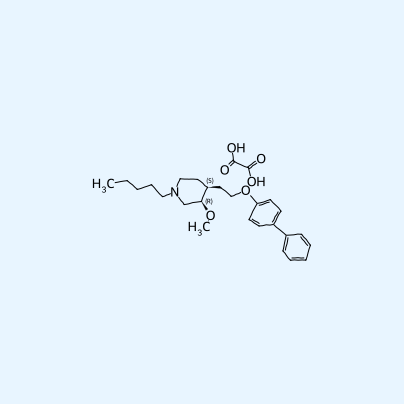 CCCCCN1CC[C@@H](CCOc2ccc(-c3ccccc3)cc2)[C@@H](OC)C1.O=C(O)C(=O)O